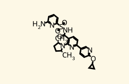 C[C@@H]1CC[C@H](C)N1c1nc(-c2ccc(OC3CC3)nc2)ccc1C(=O)NS(=O)(=O)c1cccc(N)n1